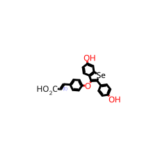 O=C(O)/C=C/c1ccc(Oc2c(-c3ccc(O)cc3)[se]c3cc(O)ccc23)cc1